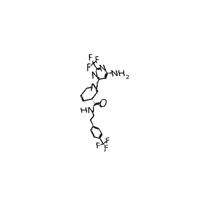 Nc1cc(N2CCC[C@@H](C(=O)NCCc3ccc(C(F)(F)F)cc3)C2)nc(C(F)(F)F)n1